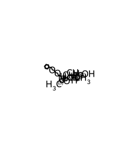 CC1=C2C[C@H]3[C@@H](CC=C4C[C@@H](O)CC[C@@]43C)[C@@H]2CC[C@@]2(C1)OC1C[C@H](C)CN(CCOCCOCc3ccccc3)[C@H]1[C@H]2C